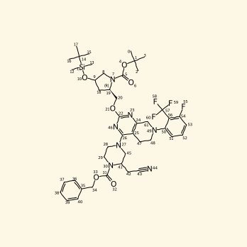 CC(C)(C)OC(=O)N1CC(O[Si](C)(C)C(C)(C)C)C[C@@H]1COc1nc2c(c(N3CCN(C(=O)OCc4ccccc4)C(CC#N)C3)n1)CCN(c1cccc(F)c1C(F)(F)F)C2